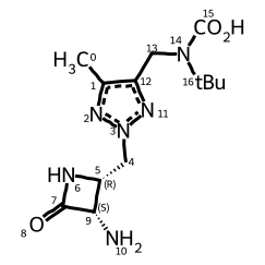 Cc1nn(C[C@H]2NC(=O)[C@H]2N)nc1CN(C(=O)O)C(C)(C)C